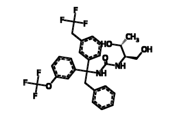 C[C@@H](O)[C@@H](CO)NC(=O)NC(Cc1ccccc1)(c1cccc(CC(F)(F)F)c1)c1cccc(OC(F)(F)F)c1